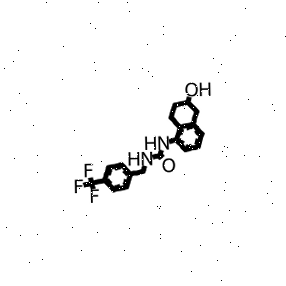 O=C(NCc1ccc(C(F)(F)F)cc1)Nc1cccc2c1CCC(O)C2